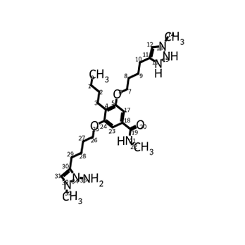 CCCCc1c(OCCCCC2=CN(C)NN2)cc(C(=O)NC)cc1OCCCCc1cn(C)n1N